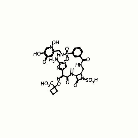 Nc1nc(/C(=N/OC2(C(=O)O)CCC2)C(=O)N[C@@H]2C(=O)N(S(=O)(=O)O)[C@@H]2CNC(=O)c2cccc(S(=O)(=O)NCc3cc(=O)c(O)cn3O)c2)cs1